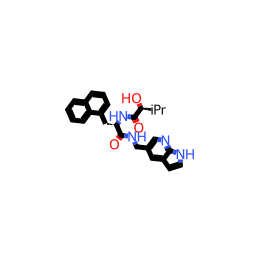 CC(C)[C@H](O)C(=O)N[C@@H](Cc1cccc2ccccc12)C(=O)NCc1cnc2[nH]ccc2c1